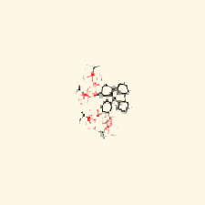 C=C(C)C(=O)OCc1ccc(C2(c3ccc(COC(=O)C(=C)C)c(COC(=O)C(C)C)c3)c3ccccc3-c3ccccc32)cc1COC(=O)C(=C)C